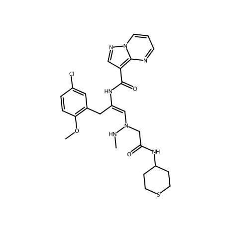 CNN(/C=C(\Cc1cc(Cl)ccc1OC)NC(=O)c1cnn2cccnc12)CC(=O)NC1CCSCC1